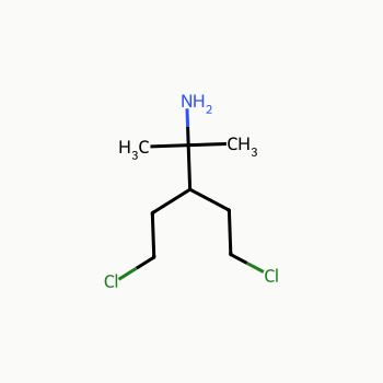 CC(C)(N)C(CCCl)CCCl